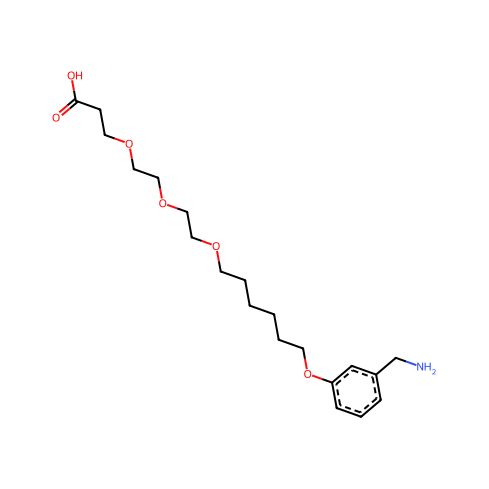 NCc1cccc(OCCCCCCOCCOCCOCCC(=O)O)c1